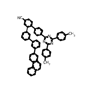 Cc1ccc(-c2nc(-c3ccc(C)cc3)nc(-c3ccc(-c4ccc(C#N)cc4-c4cccc(-c5cccc(-c6ccc7c(ccc8ccccc87)c6)c5)c4)cc3)n2)cc1